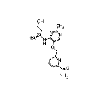 CCCC[C@@H](CCO)Nc1nc(C)ncc1OCc1cccc(C(N)=O)n1